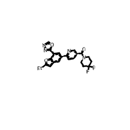 CCc1cc2cc(-c3ccc(C(=O)N4CCC(F)(F)CC4)cn3)cc(-c3nnco3)c2o1